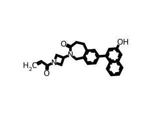 C=CC(=O)N1CC(N2Cc3ccc(-c4cc(O)cc5ccccc45)cc3CCC2=O)C1